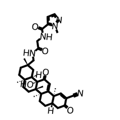 Cn1nccc1C(=O)NCC(=O)NC[C@@]1(C)CC[C@]2(C)CC[C@@]3(C)[C@]4(C)CC[C@H]5CC(=O)C(C#N)=C[C@]5(C)C4=CC(=O)[C@]3(O)[C@@H]2C1